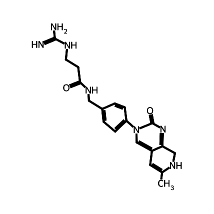 CC1=Cc2cn(-c3ccc(CNC(=O)CCNC(=N)N)cc3)c(=O)nc2CN1